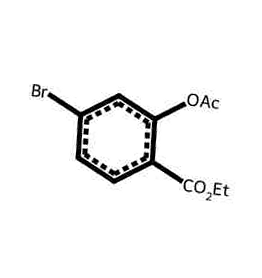 CCOC(=O)c1ccc(Br)cc1OC(C)=O